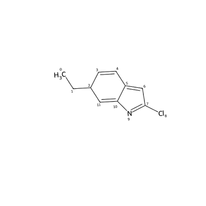 CCC1C=CC2=CC(Cl)=NC2=C1